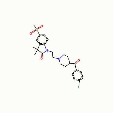 CC1(C)C(=O)N(CCN2CCC(C(=O)c3ccc(F)cc3)CC2)c2ccc(S(C)(=O)=O)cc21